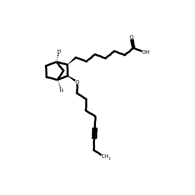 CCC#CCCCCO[C@H]1[C@H]2CC[C@H](C2)[C@H]1CCCCCCC(=O)O